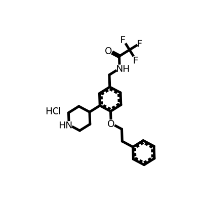 Cl.O=C(NCc1ccc(OCCc2ccccc2)c(C2CCNCC2)c1)C(F)(F)F